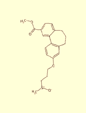 COC(=O)c1ccc2c(c1)-c1ccc(OCCC[S+](C)[O-])cc1CCC2